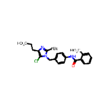 CCCCc1nc(CCC(=O)O)c(Cl)n1Cc1ccc(NC(=O)c2ccccc2C(=O)O)cc1